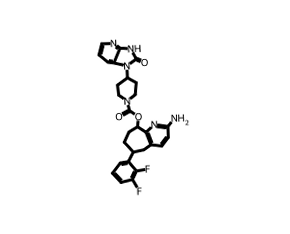 Nc1ccc2c(n1)C(OC(=O)N1CCC(n3c(=O)[nH]c4ncccc43)CC1)CCC(c1cccc(F)c1F)C2